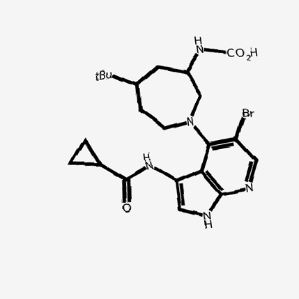 CC(C)(C)C1CCN(c2c(Br)cnc3[nH]cc(NC(=O)C4CC4)c23)CC(NC(=O)O)C1